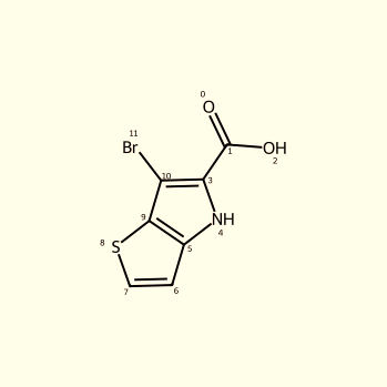 O=C(O)c1[nH]c2ccsc2c1Br